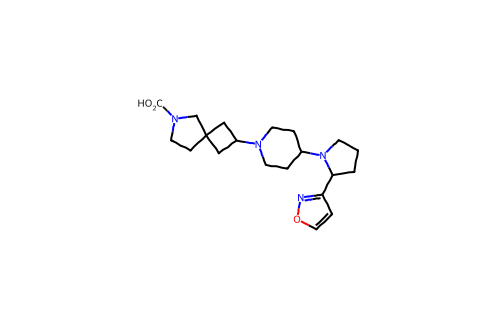 O=C(O)N1CCC2(CC(N3CCC(N4CCCC4c4ccon4)CC3)C2)C1